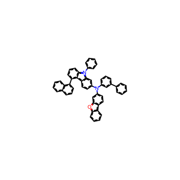 c1ccc(-c2cccc(N(c3ccc4c(c3)oc3ccccc34)c3ccc4c5c(-c6cccc7ccccc67)cccc5n(-c5ccccc5)c4c3)c2)cc1